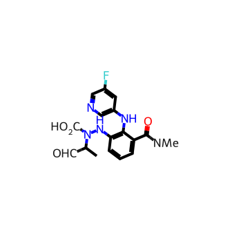 CNC(=O)c1cccc(NN(C(=O)O)C(C)C=O)c1Nc1cncc(F)c1